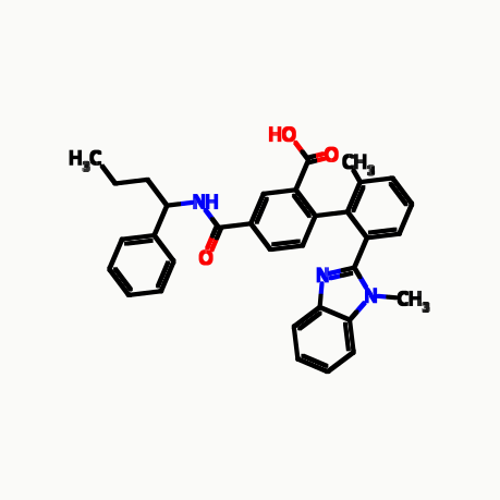 CCCC(NC(=O)c1ccc(-c2c(C)cccc2-c2nc3ccccc3n2C)c(C(=O)O)c1)c1ccccc1